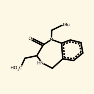 CC(C)(C)CN1C(=O)C(CC(=O)O)NCc2ccccc21